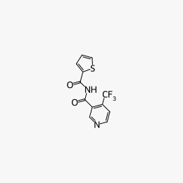 O=C(NC(=O)c1cnccc1C(F)(F)F)c1cccs1